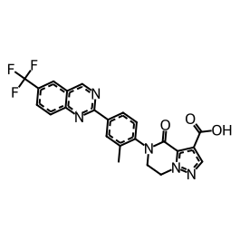 Cc1cc(-c2ncc3cc(C(F)(F)F)ccc3n2)ccc1N1CCn2ncc(C(=O)O)c2C1=O